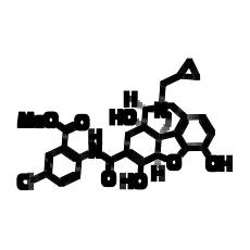 COC(=O)c1cc(Cl)ccc1NC(=O)C1=C(O)[C@@H]2Oc3c(O)ccc4c3[C@@]23CCN(CC2CC2)[C@H](C4)[C@]3(O)C1